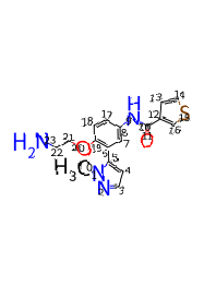 Cn1nccc1-c1cc(NC(=O)c2ccsc2)ccc1OCCN